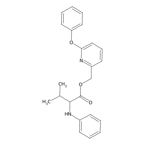 CC(C)C(Nc1ccccc1)C(=O)OCc1cccc(Oc2ccccc2)n1